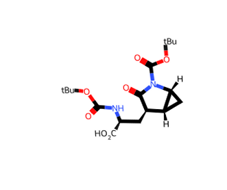 CC(C)(C)OC(=O)N[C@@H](C[C@H]1C(=O)N(C(=O)OC(C)(C)C)[C@@H]2C[C@@H]21)C(=O)O